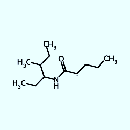 CCC[CH]C(=O)NC(CC)C(C)CC